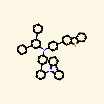 c1ccc(-c2cc(-c3ccccc3)cc(N(c3ccc(-c4ccc5c(c4)sc4ccccc45)cc3)c3ccc(-c4ccccc4-n4c5ccccc5c5ccccc54)cc3)c2)cc1